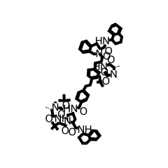 C[C@@H](C(=O)NC(Cc1ccc(CCc2ccc(C(=O)N[C@H]3CC(C(=O)NC4CCCc5ccccc54)N(C(=O)C(NC(=O)[C@H](C)N(C)C(=O)OC(C)(C)C)C(C)(C)C)C3)cc2)cc1)C(=O)N1Cc2ccccc2CC1C(=O)NC1CCCc2ccccc21)N(C)C(=O)OC(C)(C)C